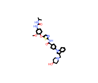 COc1cc(NC(=O)NC(C)C)ccc1Oc1cnc(NC(=O)c2ccc(-n3cc(CN4CCC(O)CC4)c4ccccc43)cc2)s1